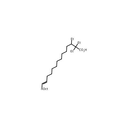 CCCCCCCCC=CCCCCCCCCCC(CC)C(CC)(CC)C(=O)O